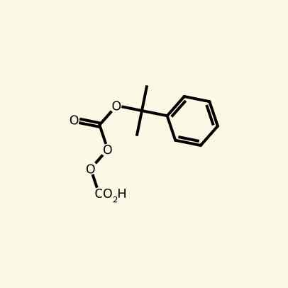 CC(C)(OC(=O)OOC(=O)O)c1ccccc1